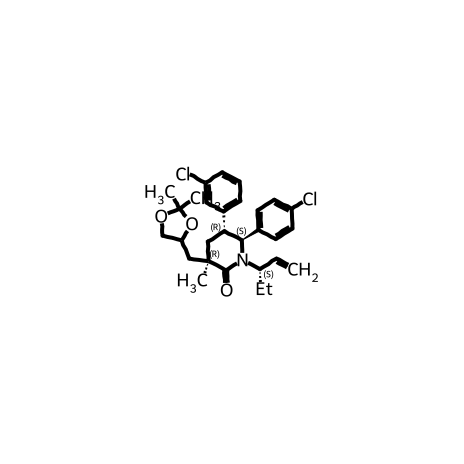 C=C[C@H](CC)N1C(=O)[C@@](C)(CC2COC(C)(C)O2)C[C@H](c2cccc(Cl)c2)[C@H]1c1ccc(Cl)cc1